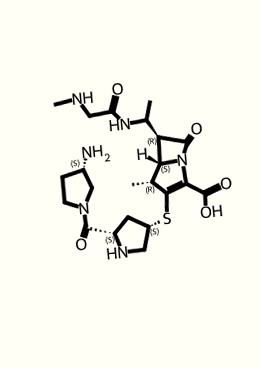 CNCC(=O)NC(C)[C@H]1C(=O)N2C(C(=O)O)=C(S[C@@H]3CN[C@H](C(=O)N4CC[C@H](N)C4)C3)[C@H](C)[C@H]12